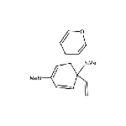 C1=COC=CC1.C=CC1(NC)C=CC(NC)=CC1